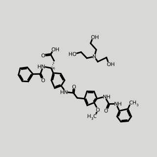 COc1cc(CC(=O)Nc2ccc([C@@H](CC(=O)O)NC(=O)c3ccccc3)cc2)ccc1NC(=O)Nc1ccccc1C.OCCN(CCO)CCO